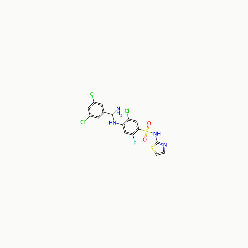 N[C@H](Nc1cc(F)c(S(=O)(=O)Nc2nccs2)cc1Cl)c1cc(Cl)cc(Cl)c1